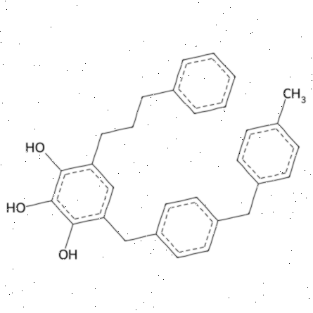 Cc1ccc(Cc2ccc(Cc3cc(CCCc4ccccc4)c(O)c(O)c3O)cc2)cc1